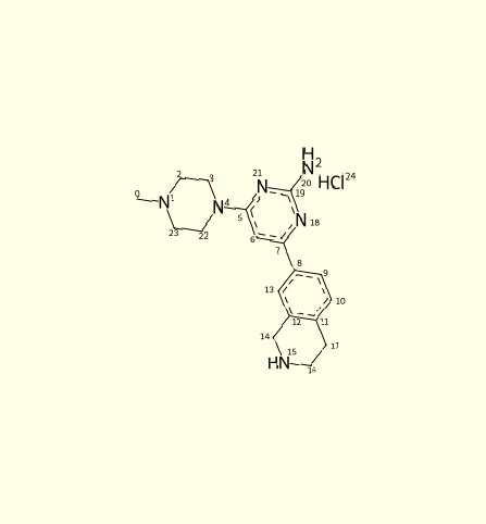 CN1CCN(c2cc(-c3ccc4c(c3)CNCC4)nc(N)n2)CC1.Cl